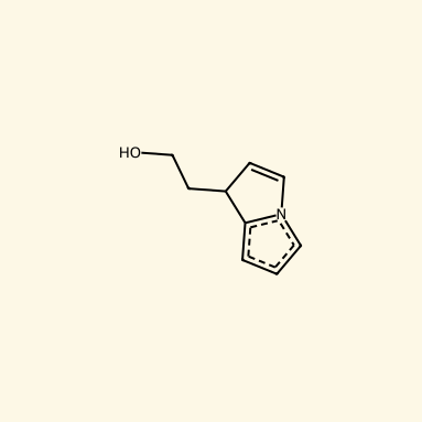 OCCC1C=Cn2cccc21